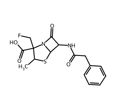 CC1SC2C(NC(=O)Cc3ccccc3)C(=O)N2C1(CF)C(=O)O